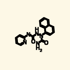 NC(=O)N(NC(=O)[N]c1ccccn1)c1cccc2ccccc12